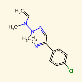 C=CN(C)N(C)/N=C\C(=N/C)c1ccc(Cl)cc1